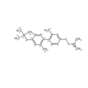 Cc1cc(CC[SiH](C)C)ccc1-c1ccc(C[Si](C)(C)C)cc1C